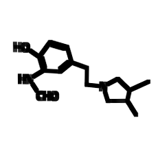 CC1CN(CCc2ccc(O)c(NC=O)c2)CC1C